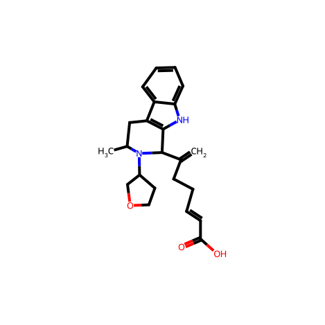 C=C(CC/C=C/C(=O)O)C1c2[nH]c3ccccc3c2CC(C)N1C1CCOC1